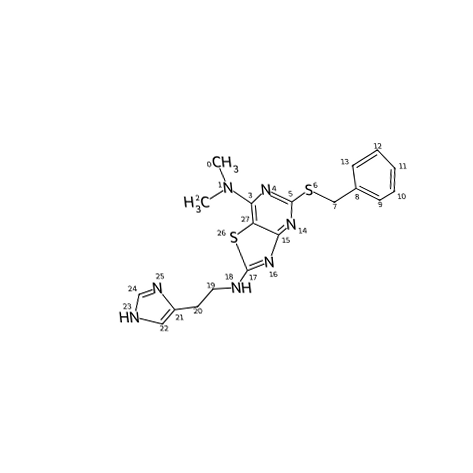 CN(C)c1nc(SCc2ccccc2)nc2nc(NCCc3c[nH]cn3)sc12